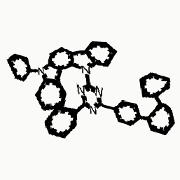 c1ccc(-c2nc(-c3ccc(-c4ccccc4-c4ccccc4)cc3)nc(-n3c4ccccc4c4ccc5c(c6ccccc6n5-c5ccccc5)c43)n2)cc1